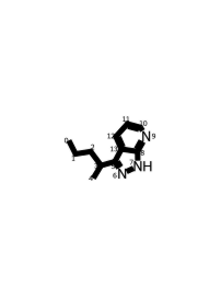 CCCC(C)c1n[nH]c2ncccc12